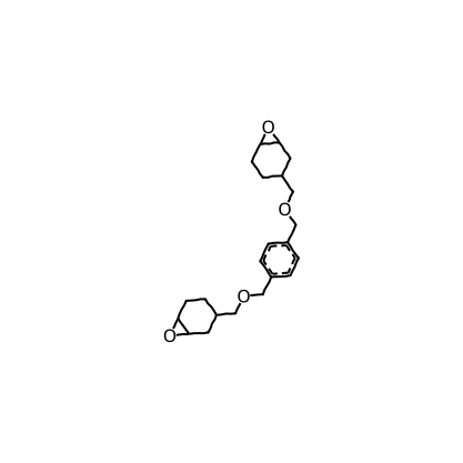 c1cc(COCC2CCC3OC3C2)ccc1COCC1CCC2OC2C1